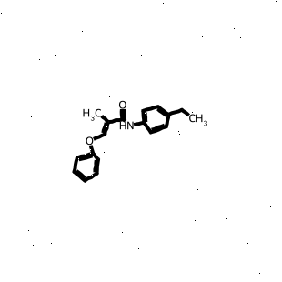 CCc1ccc(NC(=O)C(C)=COc2ccccc2)cc1